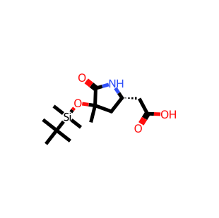 CC1(O[Si](C)(C)C(C)(C)C)C[C@@H](CC(=O)O)NC1=O